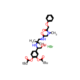 Br.CN(CC(=O)NCC(C)(C)NC(CO)c1ccc(OC(=O)C(C)(C)C)c(OC(=O)C(C)(C)C)c1)C(=O)COc1ccccc1